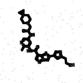 Cc1ncc(NC(=O)CN2CCC3(CC2)CC3)cc1NC(=O)c1cnn2cc(-c3cnn(CCO)c3)sc12